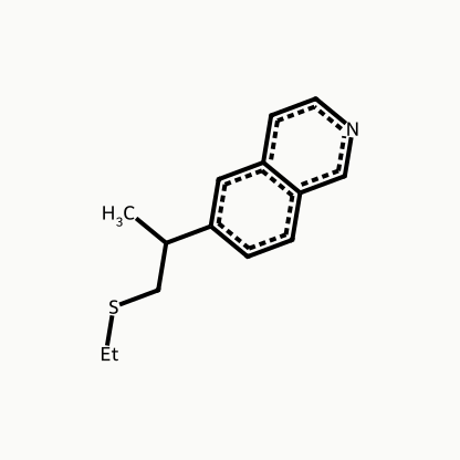 CCSCC(C)c1ccc2cnccc2c1